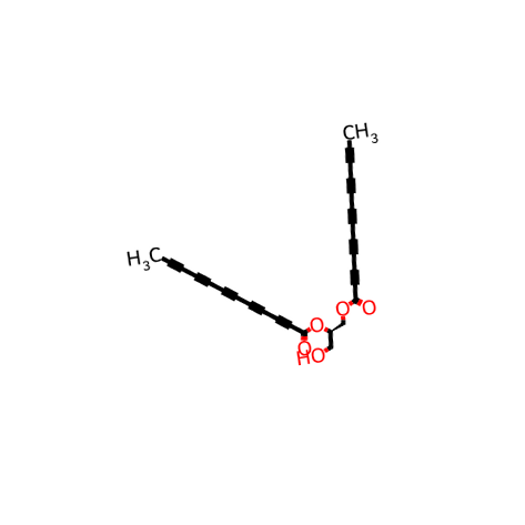 CC#CC#CC#CC#CC#CC(=O)OC[C@@H](CO)OC(=O)C#CC#CC#CC#CC#CC